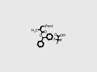 CCCCC/C=C(/C)C(=O)OC(c1ccccc1)c1ccccc1.O=C(O)C(F)(F)F